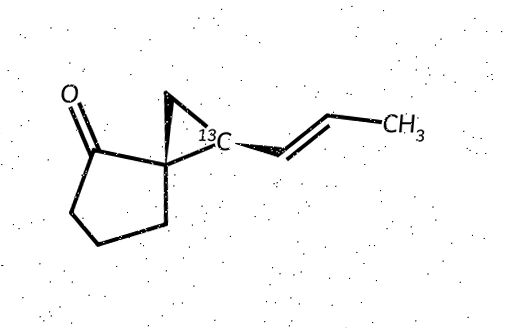 C/C=C/[13C@@H]1C[C@]12CCCC2=O